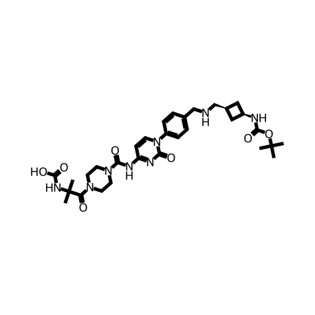 CC(C)(C)OC(=O)N[C@H]1C[C@@H](CNCc2ccc(-n3ccc(NC(=O)N4CCN(C(=O)C(C)(C)NC(=O)O)CC4)nc3=O)cc2)C1